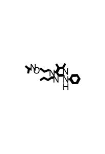 CCCc1nc2c(Nc3ccccc3)nc(C)c(C)c2n1CCCON=C(C)C